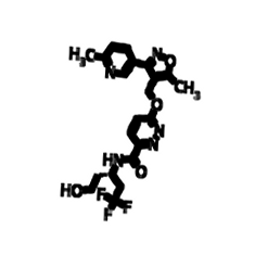 Cc1ccc(-c2noc(C)c2COc2ccc(C(=O)N[C@@H](CCO)CC(F)(F)F)nn2)cn1